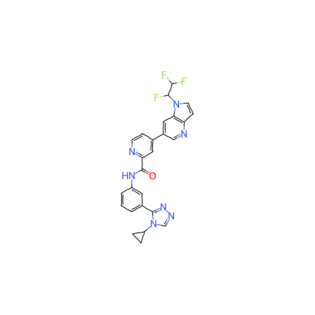 O=C(Nc1cccc(-c2nncn2C2CC2)c1)c1cc(-c2cnc3ccn(C(F)C(F)F)c3c2)ccn1